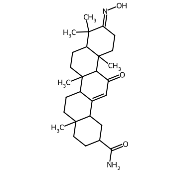 CC12CCC(C(N)=O)CC1C1=CC(=O)C3C(C)(CCC4C(C)(C)C(=NO)CCC43C)C1CC2